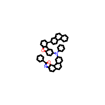 c1ccc(-c2nc3ccc4ccc5ccc(N(c6ccccc6)c6ccc7oc8cccc(-c9ccc%10c(ccc%11ccccc%11%10)c9)c8c7c6)cc5c4c3o2)cc1